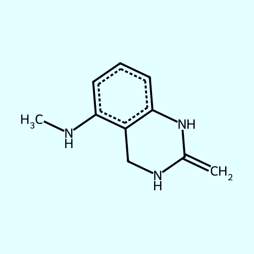 C=C1NCc2c(NC)cccc2N1